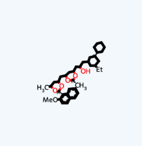 CCC1CC(CC(O)CC2CC(CC3CC(C)O[C@@H](c4c(OC)ccc5ccccc45)O3)O[C@@H](C)O2)C[C@@H](C2CCCCC2)C1